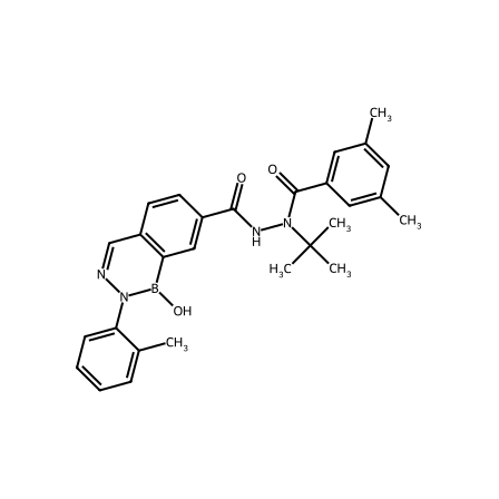 Cc1cc(C)cc(C(=O)N(NC(=O)c2ccc3c(c2)B(O)N(c2ccccc2C)N=C3)C(C)(C)C)c1